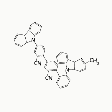 CC1=CC2c3ccccc3N(c3ccccc3-c3ccc(-c4ccc(N5c6ccccc6C6C=CC=CC65)cc4C#N)cc3C#N)C2C=C1